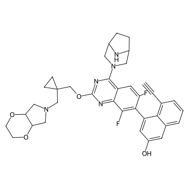 C#Cc1cccc2cc(O)cc(-c3c(F)cc4c(N5CC6CCC(C5)N6)nc(OCC5(CN6CC7OCCOC7C6)CC5)nc4c3F)c12